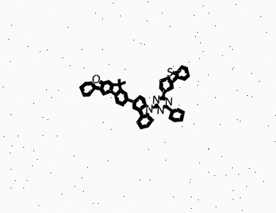 CC1(C)c2cc(-c3ccc4c(c3)c3ccccc3n4-c3nc(-c4ccccc4)nc(-c4ccc5sc6ccccc6c5c4)n3)ccc2-c2cc3c(cc21)oc1ccccc13